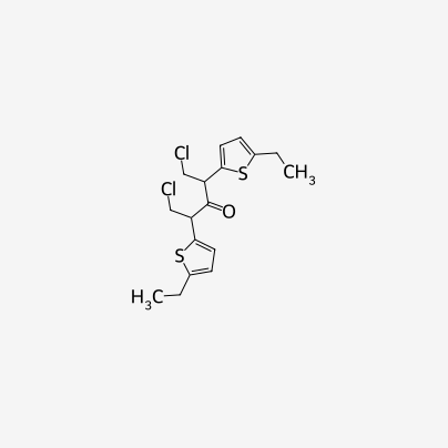 CCc1ccc(C(CCl)C(=O)C(CCl)c2ccc(CC)s2)s1